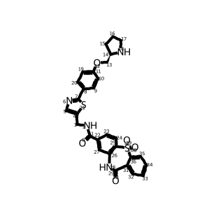 O=C(NCc1cnc(-c2ccc(OC[C@H]3CCCN3)cc2)s1)c1ccc2c(c1)NC(=O)c1ccccc1S2(=O)=O